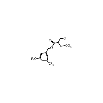 O=C(OCc1cc(C(F)(F)F)cc(C(F)(F)F)c1)C(CCl)CC(Cl)(Cl)Cl